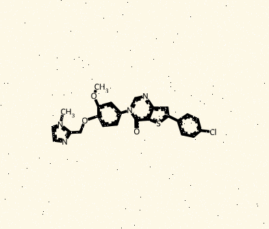 COc1cc(-n2cnc3cc(-c4ccc(Cl)cc4)sc3c2=O)ccc1OCc1nccn1C